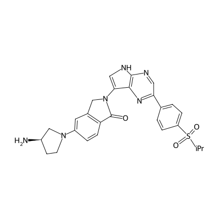 CC(C)S(=O)(=O)c1ccc(-c2cnc3[nH]cc(N4Cc5cc(N6CC[C@@H](N)C6)ccc5C4=O)c3n2)cc1